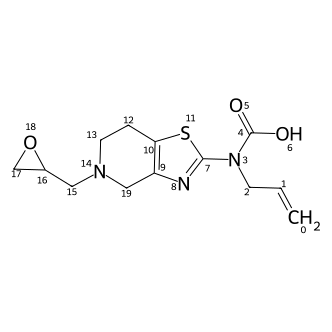 C=CCN(C(=O)O)c1nc2c(s1)CCN(CC1CO1)C2